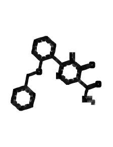 NC(=O)c1cnc(-c2ccccc2OCc2ccccc2)[nH]c1=O